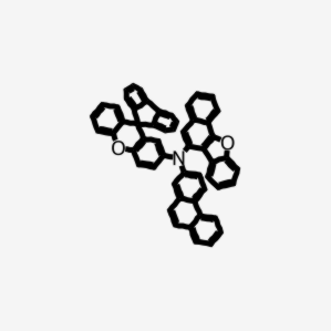 c1ccc2c(c1)Oc1ccc(N(c3ccc4c(ccc5ccccc54)c3)c3cc4ccccc4c4oc5ccccc5c34)cc1C21c2ccccc2-c2ccccc21